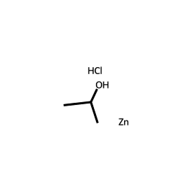 CC(C)O.Cl.[Zn]